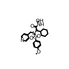 COc1ccc(S(=O)(=O)N(Cc2ccncc2)[C@@H](C(=O)NO)C2CCCCC2)cc1